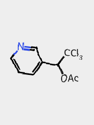 CC(=O)OC(c1cccnc1)C(Cl)(Cl)Cl